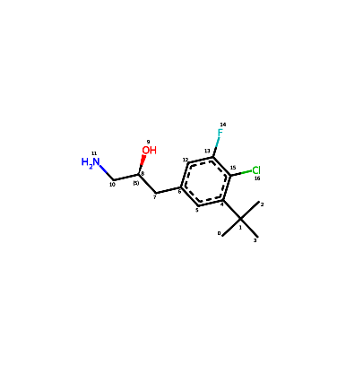 CC(C)(C)c1cc(C[C@H](O)CN)cc(F)c1Cl